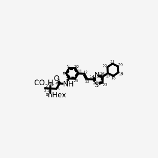 CCCCCCC(C)(CC(=O)Nc1cccc(C=Cc2nc(C3CCCCC3)cs2)c1)C(=O)O